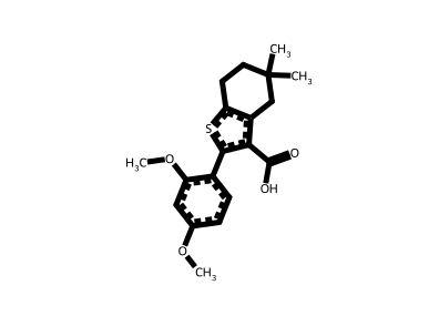 COc1ccc(-c2sc3c(c2C(=O)O)CC(C)(C)CC3)c(OC)c1